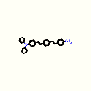 Nc1ccc(/C=C/c2ccc(/C=C/c3ccc(N(c4ccccc4)c4ccccc4)cc3)cc2)cc1